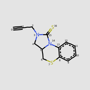 C#CCN1CC2CSc3ccccc3N2C1=S